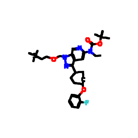 CCN(C(=O)OC(C)(C)C)c1cc2c(C3CCC(Oc4ccccc4F)CC3)nn(COCC[Si](C)(C)C)c2cn1